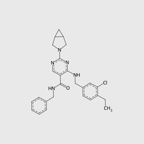 CCc1ccc(CNc2nc(N3CC4CC4C3)ncc2C(=O)NCc2ccccc2)cc1Cl